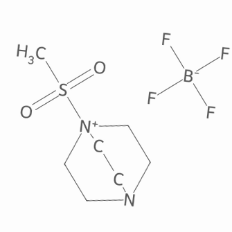 CS(=O)(=O)[N+]12CCN(CC1)CC2.F[B-](F)(F)F